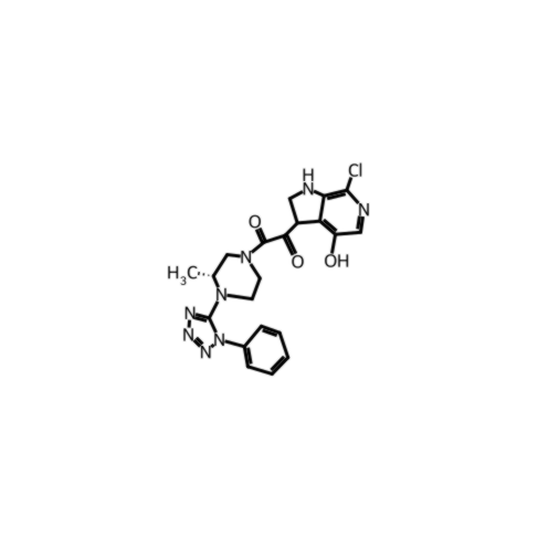 C[C@@H]1CN(C(=O)C(=O)C2CNc3c(Cl)ncc(O)c32)CCN1c1nnnn1-c1ccccc1